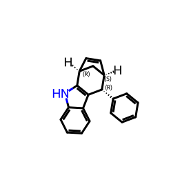 C1=C[C@H]2C[C@@H]1[C@H](c1ccccc1)c1c2[nH]c2ccccc12